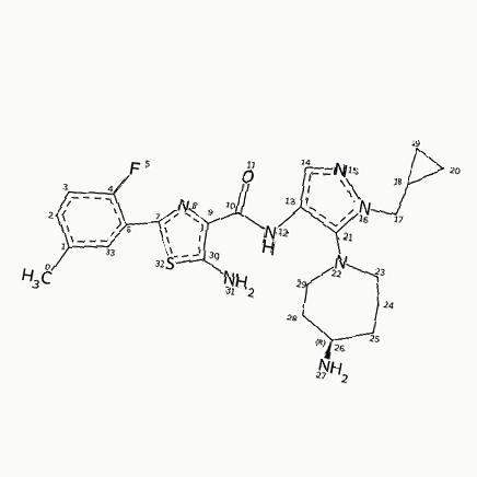 Cc1ccc(F)c(-c2nc(C(=O)Nc3cnn(CC4CC4)c3N3CCC[C@@H](N)CC3)c(N)s2)c1